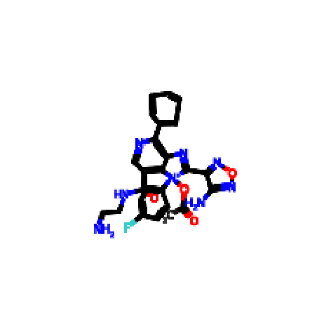 NCCNC(=O)c1cnc(-c2ccccc2)c2c1[N+](OC(=O)C(F)(F)F)(c1ccc(F)cc1)C(c1nonc1N)=N2